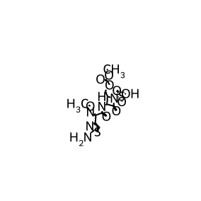 CON=C(C(=O)NC1C(=O)N(S(=O)(=O)O)C1COC(=O)OC)c1csc(N)n1